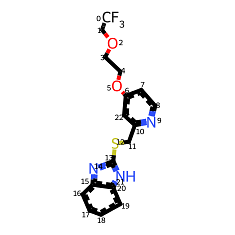 FC(F)(F)COCCOc1ccnc(CSc2nc3ccccc3[nH]2)c1